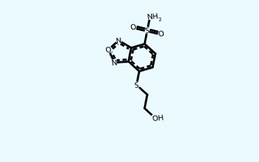 NS(=O)(=O)c1ccc(SCCO)c2nonc12